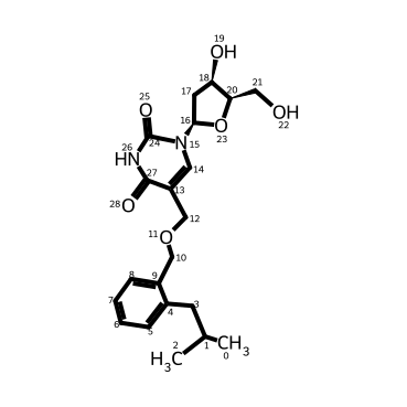 CC(C)Cc1ccccc1COCc1cn([C@H]2C[C@@H](O)[C@@H](CO)O2)c(=O)[nH]c1=O